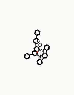 C1=CC2c3ccc4c5ccccc5n(-c5cccc(-c6ccccc6)c5)c4c3N(c3cccc4c3oc3nc(-c5ccccc5)ccc34)C2C=C1